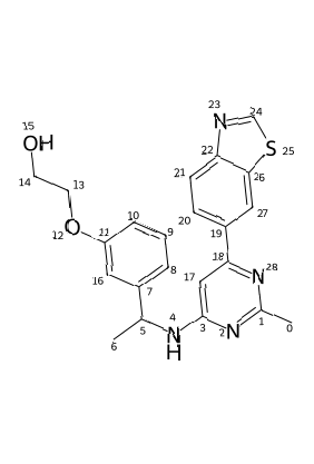 Cc1nc(NC(C)c2cccc(OCCO)c2)cc(-c2ccc3ncsc3c2)n1